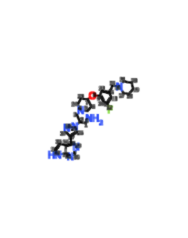 NCC(CN1CCC(Oc2cc(F)cc(CN3CCCCC3)c2)CC1)n1cc(-c2ncnc3[nH]ccc23)cn1